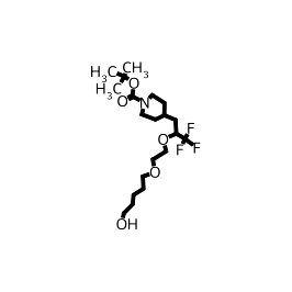 CC(C)(C)OC(=O)N1CCC(CC(OCCOCCCCCO)C(F)(F)F)CC1